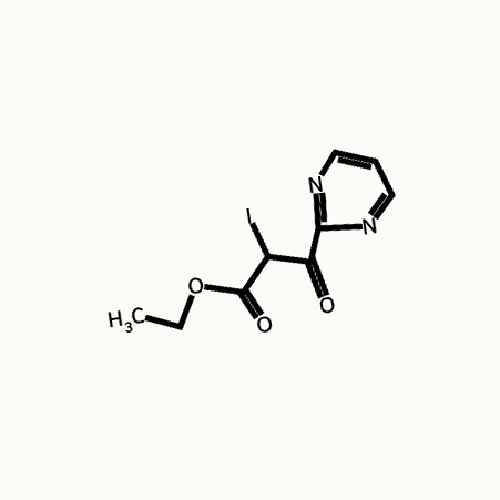 CCOC(=O)C(I)C(=O)c1ncccn1